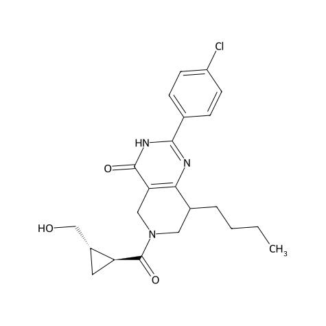 CCCCC1CN(C(=O)[C@H]2C[C@@H]2CO)Cc2c1nc(-c1ccc(Cl)cc1)[nH]c2=O